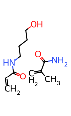 C=C(C)C(N)=O.C=CC(=O)NCCCCO